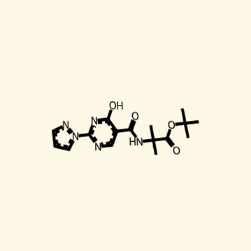 CC(C)(C)OC(=O)C(C)(C)NC(=O)c1cnc(-n2cccn2)nc1O